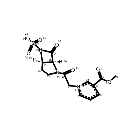 COC(=O)c1ccc[n+](CC(=O)N2CC[C@@H]3[C@H]2C(=O)N3S(=O)(=O)O)c1